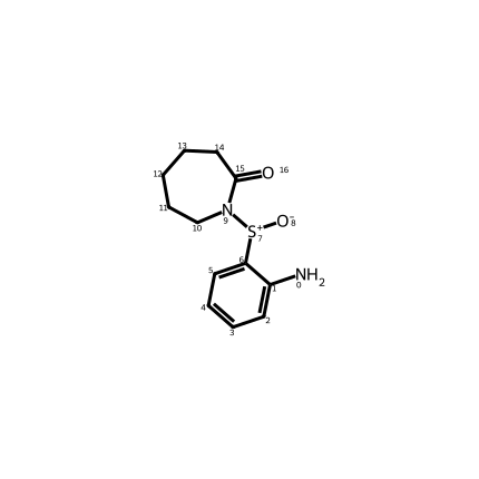 Nc1ccccc1[S+]([O-])N1CCCCCC1=O